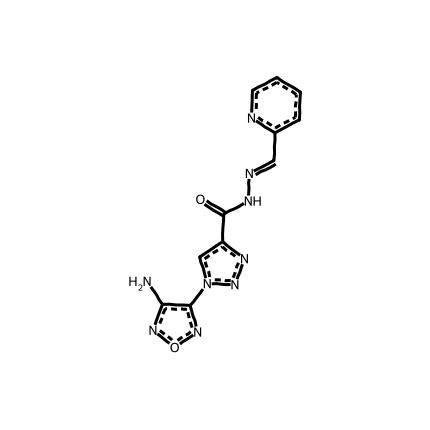 Nc1nonc1-n1cc(C(=O)NN=Cc2ccccn2)nn1